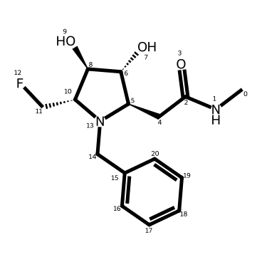 CNC(=O)C[C@@H]1[C@@H](O)[C@H](O)[C@@H](CF)N1Cc1ccccc1